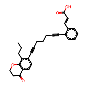 CCCc1c(C#CCCCC#Cc2ccccc2C=CC(=O)O)ccc2c1OCCC2=O